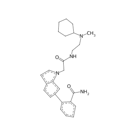 CN(CCNC(=O)Cn1ccc2ccc(-c3ccccc3C(N)=O)cc21)C1CCCCC1